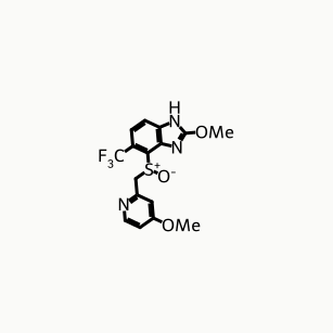 COc1ccnc(C[S+]([O-])c2c(C(F)(F)F)ccc3[nH]c(OC)nc23)c1